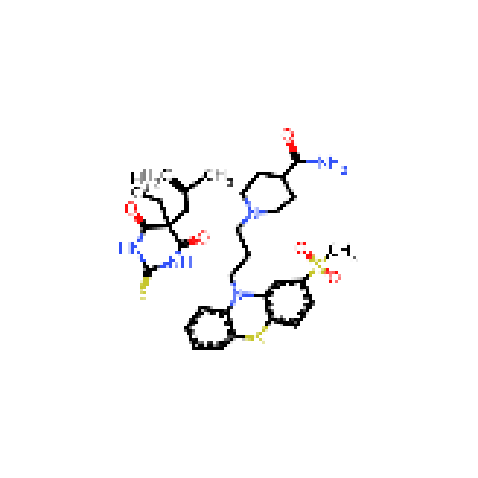 C=C(C)CC1(CC)C(=O)NC(=S)NC1=O.CS(=O)(=O)c1ccc2c(c1)N(CCCN1CCC(C(N)=O)CC1)c1ccccc1S2